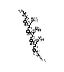 COc1ccc(CC(=O)[C@@H](CCCNC(=N)N)NC(=O)c2cc(CC(=O)[C@@H](CCCNC(=N)N)NC(=O)c3cc(CC(=O)[C@@H](CCCNC(=N)N)NC(=O)c4cc(CC(=O)[C@@H](C)NC(=O)CCN)ccc4OC)ccc3OC)ccc2OC)cc1C(=O)NCCCCCN